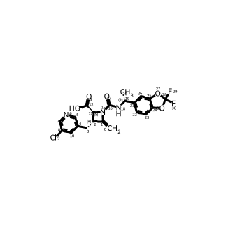 C=C1[C@H](Cc2cncc(Cl)c2)[C@@H](C(=O)O)N1C(=O)N[C@H](C)c1ccc2c(c1)OC(F)(F)O2